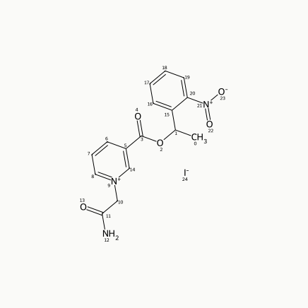 CC(OC(=O)c1ccc[n+](CC(N)=O)c1)c1ccccc1[N+](=O)[O-].[I-]